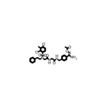 CC(=O)O/N=C(/N)c1ccc(CNC(=O)CNC(=O)CN(CCc2ccccc2)S(=O)(=O)c2ccc(Cl)c(C)c2Cl)cc1